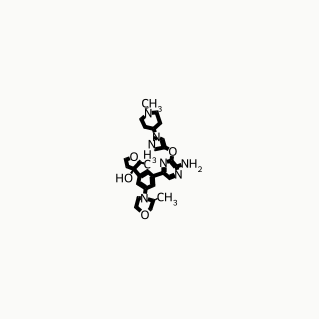 C[C@@H]1COCCN1c1cc(-c2cnc(N)c(Oc3cnn(C4CCN(C)CC4)c3)n2)cc([C@]2(O)CCO[C@H]2C)c1